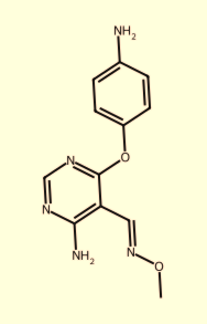 CON=Cc1c(N)ncnc1Oc1ccc(N)cc1